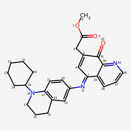 COC(=O)CC1=C/C(=N\c2ccc3c(c2)CCCN3C2CCCCC2)c2cccnc2C1=O